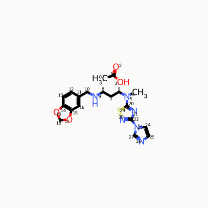 CC(=O)O.CN(CCCNCc1ccc2c(c1)OCO2)c1nc(-n2ccnc2)ns1